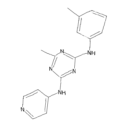 Cc1cccc(Nc2nc(C)nc(Nc3ccncc3)n2)c1